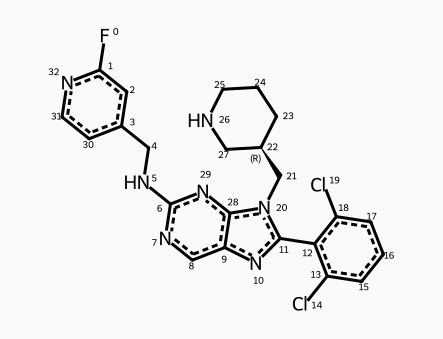 Fc1cc(CNc2ncc3nc(-c4c(Cl)cccc4Cl)n(C[C@@H]4CCCNC4)c3n2)ccn1